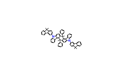 CC1(C)c2ccccc2-c2cc(-n3c4ccccc4c4c5c(ccc43)C(C)(c3ccccc3)c3c(ccc4c3c3ccccc3n4-c3ccc4c(c3)-c3ccccc3C4(C)C)C5(C)c3ccccc3)ccc21